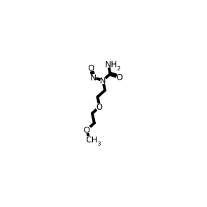 COCCOCCN(N=O)C(N)=O